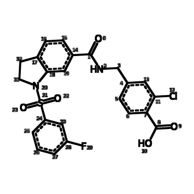 O=C(NCc1ccc(C(=O)O)c(Cl)c1)c1ccc2c(c1)N(S(=O)(=O)c1cccc(F)c1)CC2